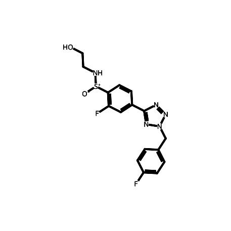 [O-][S+](NCCO)c1ccc(-c2nnn(Cc3ccc(F)cc3)n2)cc1F